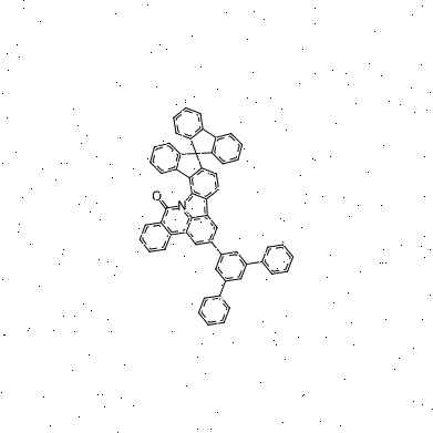 O=c1c2ccccc2c2cc(-c3cc(-c4ccccc4)cc(-c4ccccc4)c3)cc3c4ccc5c(c4n1c23)-c1ccccc1C51c2ccccc2-c2ccccc21